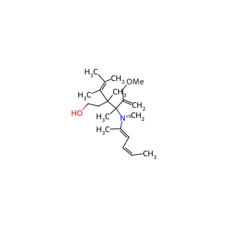 C=C(COC)C(C)([N+](=C)/C(C)=C/C=C\C)C(C)(CCO)C(C)=C(C)C